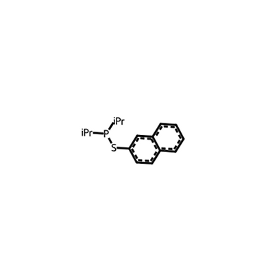 CC(C)P(Sc1ccc2ccccc2c1)C(C)C